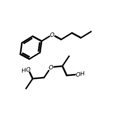 CC(O)COC(C)CO.CCCCOc1ccccc1